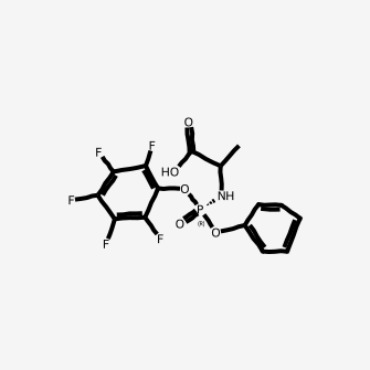 CC(N[P@@](=O)(Oc1ccccc1)Oc1c(F)c(F)c(F)c(F)c1F)C(=O)O